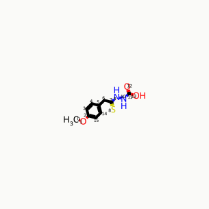 COc1ccc(CC(=S)NNC(=O)O)cc1